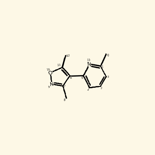 Cc1cccc(-c2c(C)noc2C)n1